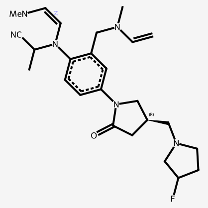 C=CN(C)Cc1cc(N2C[C@@H](CN3CCC(F)C3)CC2=O)ccc1N(/C=C\NC)C(C)C#N